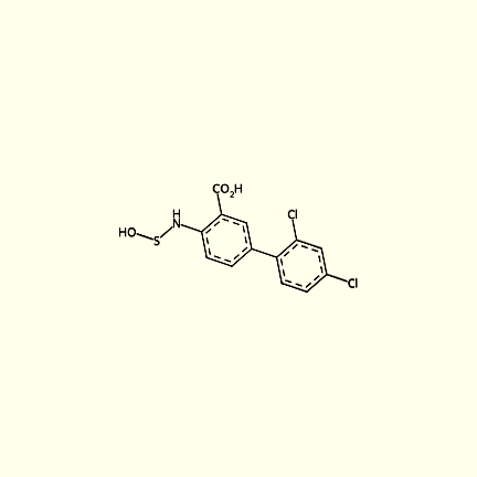 O=C(O)c1cc(-c2ccc(Cl)cc2Cl)ccc1NSO